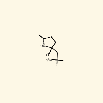 CCCCC(C)(I)CC1(Cl)CCC(C)N1